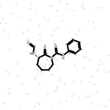 O=[C]N[C@H]1CCCCN(C(=O)Nc2ccccc2)C1=O